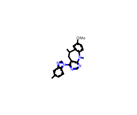 COc1ccc2c(c1)C(C)Cc1c(ncnc1-n1cnc3cc(C)ccc31)N2C